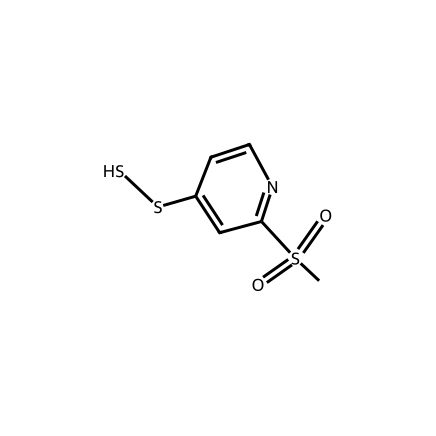 CS(=O)(=O)c1cc(SS)ccn1